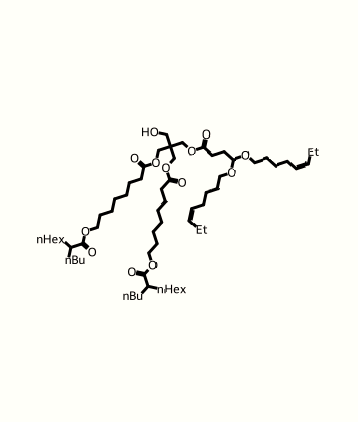 CC/C=C\CCCCOC(CCC(=O)OCC(CO)(COC(=O)CCCCCCCOC(=O)C(CCCC)CCCCCC)COC(=O)CCCCCCCOC(=O)C(CCCC)CCCCCC)OCCCC/C=C\CC